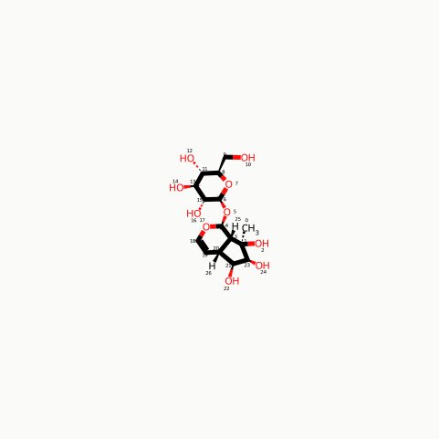 C[C@@]1(O)[C@H]2[C@H](O[C@@H]3O[C@H](CO)[C@@H](O)[C@H](O)[C@H]3O)OC=C[C@H]2[C@H](O)[C@@H]1O